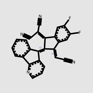 N#C/C=C1/C(=C2/c3ccccc3-c3ncccc32)C(=C(C#N)C#N)c2cc(F)c(F)cc21